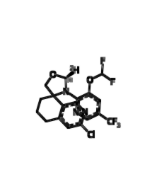 [2H][C@@H]1OCC2(CCCc3cc(Cl)ncc32)N1c1ncc(C(F)(F)F)cc1OC(F)F